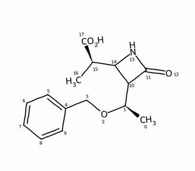 C[C@@H](OCc1ccccc1)C1C(=O)NC1[C@@H](C)C(=O)O